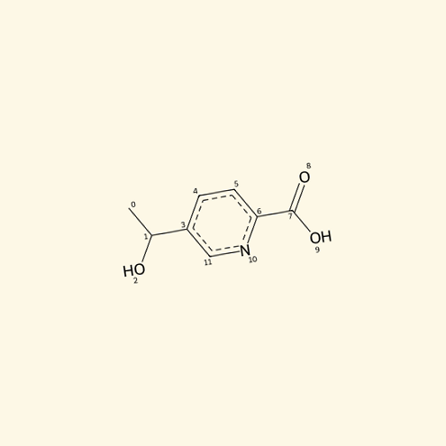 CC(O)c1ccc(C(=O)O)nc1